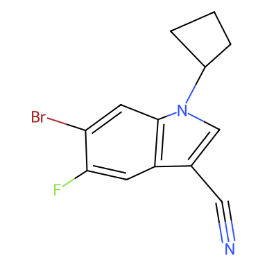 N#Cc1cn(C2CCC2)c2cc(Br)c(F)cc12